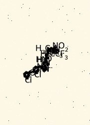 Cn1c(C(F)(F)F)nc([N+](=O)[O-])c1C[N+](C)(C)C/C=C/C(=O)Nc1cc2c(Nc3ccc(OCc4cccc(Cl)c4)c(Cl)c3)ncnc2cn1.[Br-]